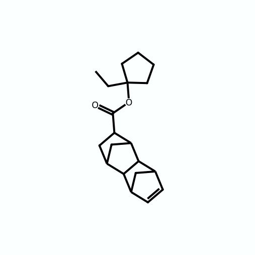 CCC1(OC(=O)C2CC3CC2C2C4C=CC(C4)C32)CCCC1